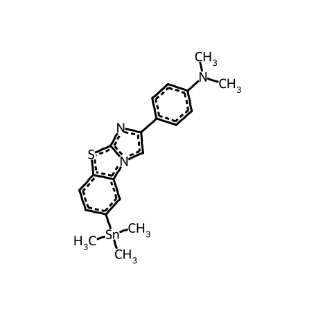 CN(C)c1ccc(-c2cn3c(n2)sc2cc[c]([Sn]([CH3])([CH3])[CH3])cc23)cc1